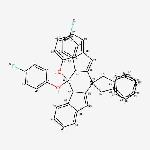 Fc1ccc([O][Zr]2([O]c3ccc(F)cc3)[CH]3C(=Cc4ccccc43)[Si](Cc3ccccc3)(Cc3ccccc3)C3=Cc4ccccc4[CH]32)cc1